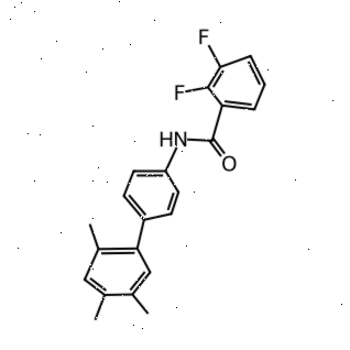 Cc1cc(C)c(-c2ccc(NC(=O)c3cccc(F)c3F)cc2)cc1C